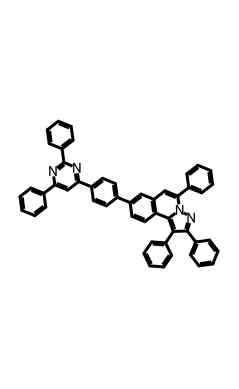 c1ccc(-c2cc(-c3ccc(-c4ccc5c(c4)cc(-c4ccccc4)n4nc(-c6ccccc6)c(-c6ccccc6)c54)cc3)nc(-c3ccccc3)n2)cc1